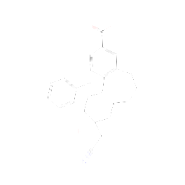 N#CC[C@@]1(O)CC[C@@]2(Cc3ccccc3)c3ccc(C(=O)O)cc3CCC[C@H]2C1